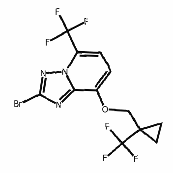 FC(F)(F)c1ccc(OCC2(C(F)(F)F)CC2)c2nc(Br)nn12